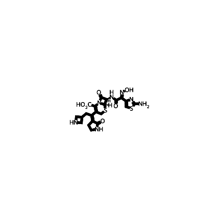 Nc1nc(C(=NO)C(=O)N[C@@H]2C(=O)N3C(C(=O)O)=C(C(CC4CNC4)=C4CCNC4=O)CS[C@H]23)cs1